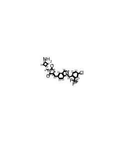 N[C@H]1C[C@H](CN2C(=O)SC(=Cc3ccc4c(cnn4Cc4ccc(Cl)cc4C(F)(F)F)c3)C2=O)C1